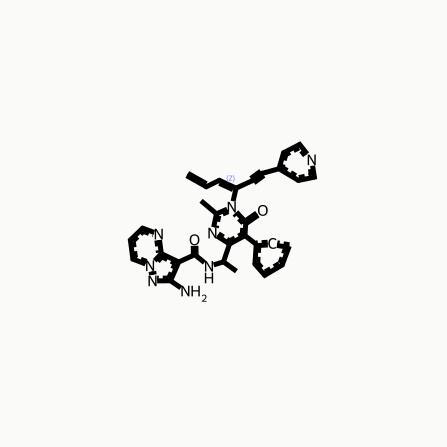 C=C/C=C(/C#Cc1ccncc1)n1c(C)nc(C(C)NC(=O)c2c(N)nn3cccnc23)c(-c2ccccc2)c1=O